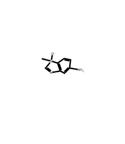 C[N+]1([O-])C=Nc2cc(N)ccc21